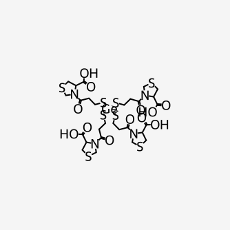 O=C(O)C1CSCN1C(=O)CC[S][Ge]([S]CCC(=O)N1CSCC1C(=O)O)([S]CCC(=O)N1CSCC1C(=O)O)[S]CCC(=O)N1CSCC1C(=O)O